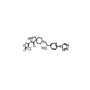 CC1=C(N2NCC3(CCN(C[C@@H](O)c4ccc(-n5cnnn5)nc4)CC3)C2=O)COC1=O